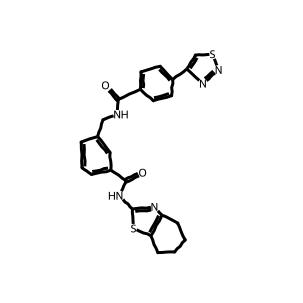 O=C(NCc1cccc(C(=O)Nc2nc3c(s2)CCCC3)c1)c1ccc(-c2csnn2)cc1